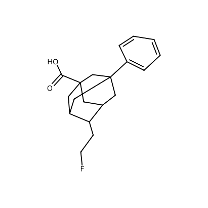 O=C(O)C12CC3CC(c4ccccc4)(CC(C1)C3CCF)C2